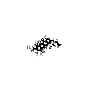 CCN(Cc1cc(O)c2c(c1OC)C[C@H]1C[C@H]3[C@H](N(C)C)C(O)=C(C(N)=O)C(=O)[C@@]3(O)C(O)=C1C2=O)[C@H](C)C1CC1